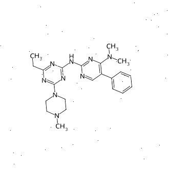 CCc1nc(Nc2ncc(-c3ccccc3)c(N(C)C)n2)nc(N2CCN(C)CC2)n1